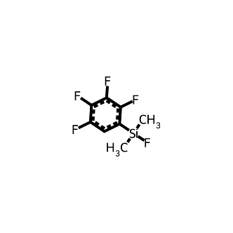 C[Si](C)(F)c1cc(F)c(F)c(F)c1F